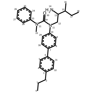 CCCc1ccc(-c2ccc(N(CC(N)C(C)CC)C(=O)N(C)c3ccccc3)cc2)cc1